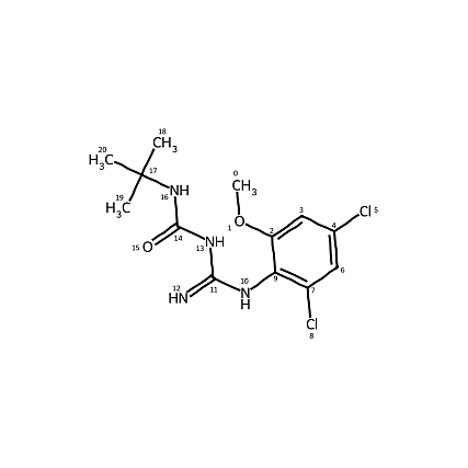 COc1cc(Cl)cc(Cl)c1NC(=N)NC(=O)NC(C)(C)C